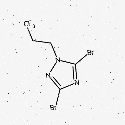 FC(F)(F)CCn1nc(Br)nc1Br